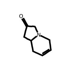 O=C1CC2CC=CCN2C1